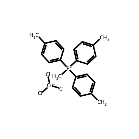 Cc1ccc([P+](C)(c2ccc(C)cc2)c2ccc(C)cc2)cc1.[Cl][Cu-]([Cl])[Cl]